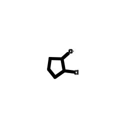 [O]C1CCCC1Cl